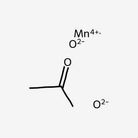 CC(C)=O.[Mn+4].[O-2].[O-2]